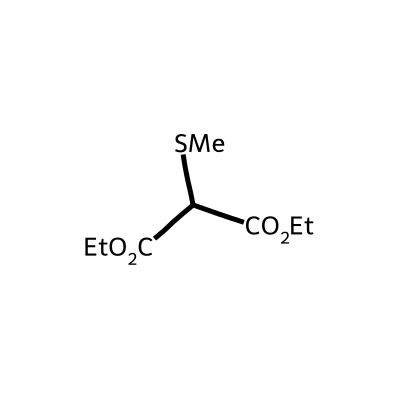 CCOC(=O)C(SC)C(=O)OCC